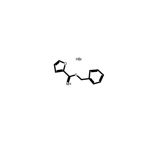 Br.N=C(SCc1ccccc1)c1ccco1